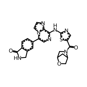 O=C1NCc2cc(-c3cnc(Nc4ncc(C(=O)N5CC6CC5CO6)s4)c4nccn34)ccc21